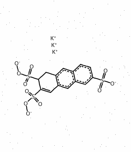 O=S(=O)(O[O-])C1=Cc2cc3cc(S(=O)(=O)[O-])ccc3cc2CC1S(=O)(=O)O[O-].[K+].[K+].[K+]